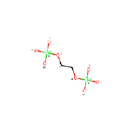 [O-][Cl+3]([O-])([O-])OCCO[Cl+3]([O-])([O-])[O-]